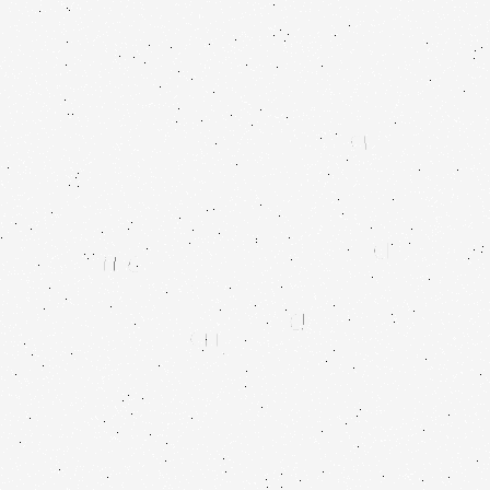 C=C(C)c1ccc(Cl)c(Cl)c1Cl